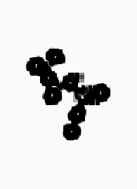 C1=C(C2N=C(c3ccc(-c4ccccc4)cc3)NC(c3ccccc3)N2)C=C(n2c3ccccc3c3cc4c5ccccc5n(-c5ccccc5)c4cc32)CN1